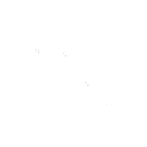 CCOC(=O)c1nc(-c2c(-c3ccc(F)cc3)nc(CBr)n2C(=O)OC(C)(C)C)sc1C(C)(C)C